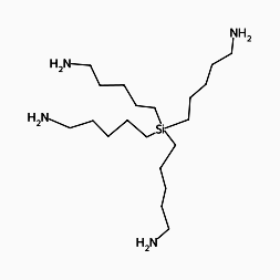 NCCCCC[Si](CCCCCN)(CCCCCN)CCCCCN